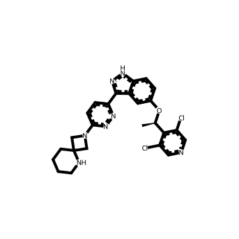 C[C@@H](Oc1ccc2[nH]nc(-c3ccc(N4CC5(CCCCN5)C4)nn3)c2c1)c1c(Cl)cncc1Cl